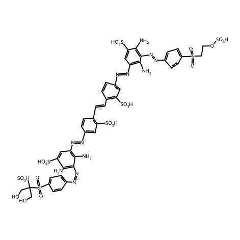 Nc1c(N=Nc2ccc(/C=C/c3ccc(N=Nc4cc(S(=O)(=O)O)c(N)c(/N=N\c5ccc(S(=O)(=O)C(CO)(CO)S(=O)(=O)O)cc5)c4N)cc3S(=O)(=O)O)c(S(=O)(=O)O)c2)cc(S(=O)(=O)O)c(N)c1N=Nc1ccc(S(=O)(=O)CCOS(=O)(=O)O)cc1